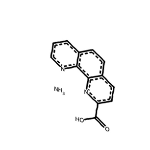 N.O=C(O)c1ccc2ccc3cccnc3c2n1